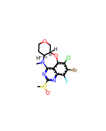 CN1c2nc([S+](C)[O-])nc3c(F)c(Br)c(Cl)c(c23)O[C@H]2COCC[C@@H]21